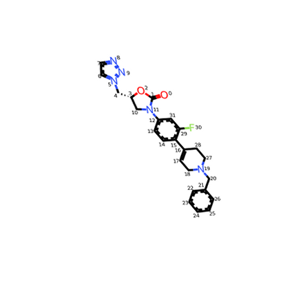 O=C1O[C@@H](Cn2ccnn2)CN1c1ccc(C2=CCN(Cc3ccccc3)CC2)c(F)c1